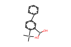 C[Si](C)(C)c1ccc(-c2ccccc2)cc1B(O)O